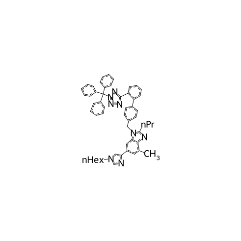 CCCCCCn1cnc(-c2cc(C)c3nc(CCC)n(Cc4ccc(-c5ccccc5-c5nnn(C(c6ccccc6)(c6ccccc6)c6ccccc6)n5)cc4)c3c2)c1